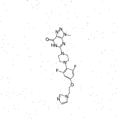 Cn1nnc2c(=O)[nH]c(N3CCN(c4c(F)cc(OCCn5ccnc5)cc4F)CC3)nc21